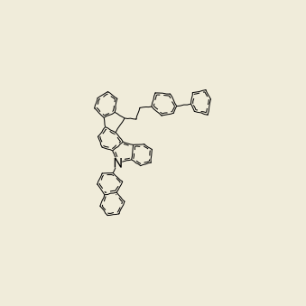 c1ccc(-c2ccc(CCC3c4ccccc4-c4ccc5c(c43)c3ccccc3n5-c3ccc4ccccc4c3)cc2)cc1